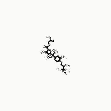 CCC(CC)(c1ccc(CCC(O)C(C)(C)C)c(C)c1)c1cc(C)c(C(=O)NCC(=O)O)s1